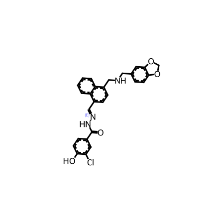 O=C(N/N=C/c1ccc(CNCc2ccc3c(c2)OCO3)c2ccccc12)c1ccc(O)c(Cl)c1